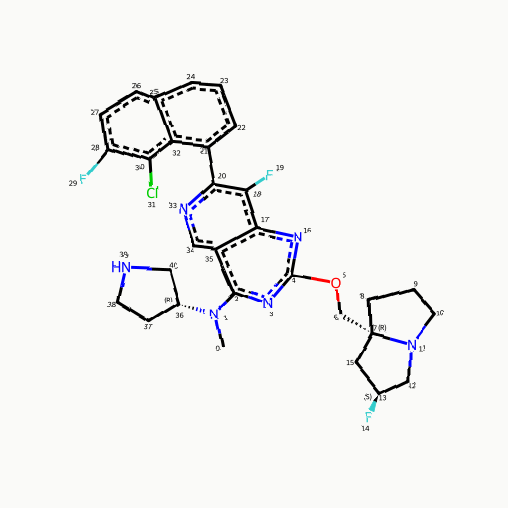 CN(c1nc(OC[C@]23CCCN2C[C@@H](F)C3)nc2c(F)c(-c3cccc4ccc(F)c(Cl)c34)ncc12)[C@@H]1CCNC1